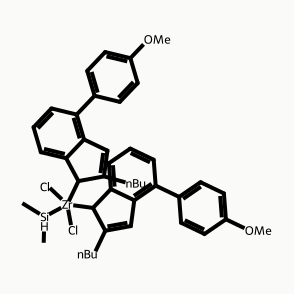 CCCCC1=Cc2c(-c3ccc(OC)cc3)cccc2[CH]1[Zr]([Cl])([Cl])([CH]1C(CCCC)=Cc2c(-c3ccc(OC)cc3)cccc21)[SiH](C)C